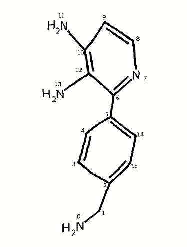 NCc1ccc(-c2nccc(N)c2N)cc1